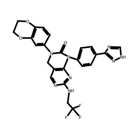 O=C1N(c2ccc3c(c2)OCCO3)Cc2cnc(NCC(F)(F)F)nc2N1c1ccc(-c2nc[nH]n2)cc1